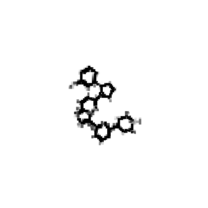 Fc1cccc([C@H]2CCCN2c2ccc3ncc(-c4cccc(C5CCNCC5)n4)n3n2)c1